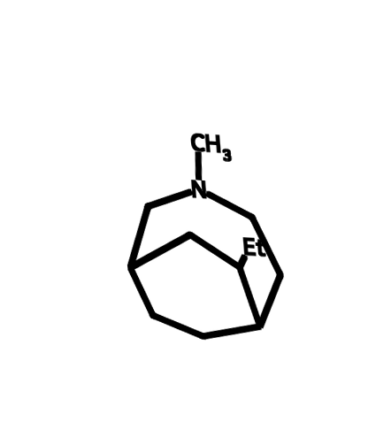 CCC1CC2CCC1CCN(C)C2